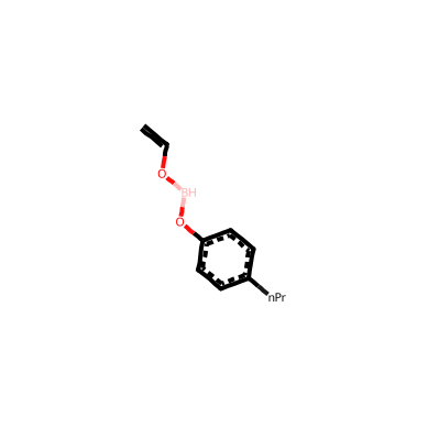 C=COBOc1ccc(CCC)cc1